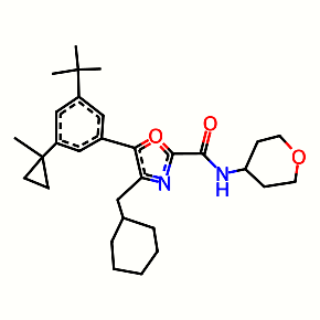 CC(C)(C)c1cc(-c2oc(C(=O)NC3CCOCC3)nc2CC2CCCCC2)cc(C2(C)CC2)c1